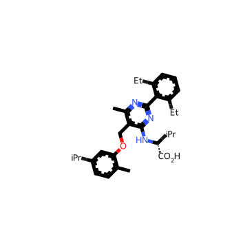 CCc1cccc(CC)c1-c1nc(C)c(COc2cc(C(C)C)ccc2C)c(N[C@@H](C(=O)O)C(C)C)n1